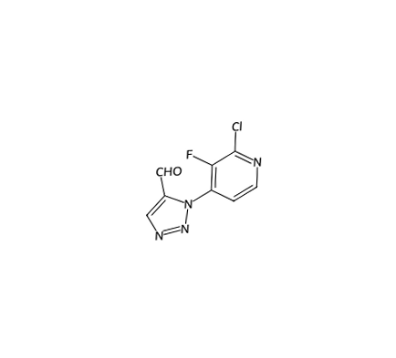 O=Cc1cnnn1-c1ccnc(Cl)c1F